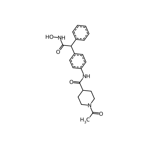 CC(=O)N1CCC(C(=O)Nc2ccc(C(C(=O)NO)c3ccccc3)cc2)CC1